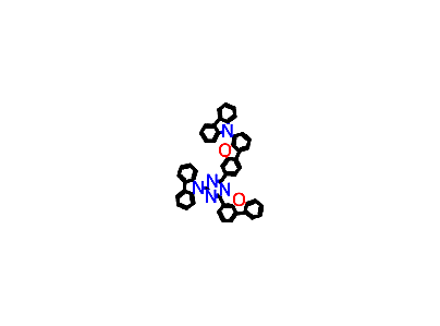 c1ccc2c(c1)oc1c(-c3nc(-c4ccc5c(c4)oc4c(-n6c7ccccc7c7ccccc76)cccc45)nc(-n4c5ccccc5c5ccccc54)n3)cccc12